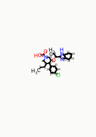 CCCC1CN(C(=O)O)CC(OC(CC)c2nc3ccccc3[nH]2)C1c1ccc(Cl)cc1